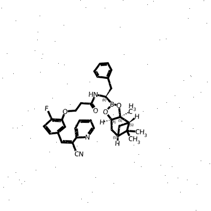 CC1(C)[C@@H]2C[C@H]3OB([C@H](Cc4ccccc4)NC(=O)CCOc4cc(C=C(C#N)c5ccccn5)ccc4F)O[C@@]3(C)[C@H]1C2